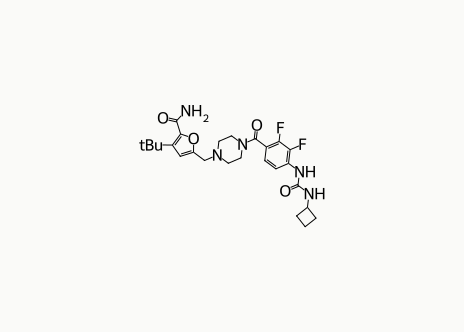 CC(C)(C)c1cc(CN2CCN(C(=O)c3ccc(NC(=O)NC4CCC4)c(F)c3F)CC2)oc1C(N)=O